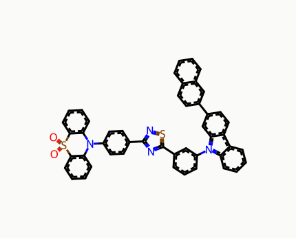 O=S1(=O)c2ccccc2N(c2ccc(-c3nsc(-c4cccc(-n5c6ccccc6c6ccc(-c7ccc8ccccc8c7)cc65)c4)n3)cc2)c2ccccc21